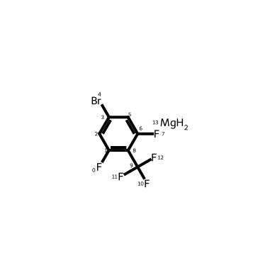 Fc1cc(Br)cc(F)c1C(F)(F)F.[MgH2]